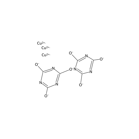 [Cu+2].[Cu+2].[Cu+2].[O-]c1nc([O-])nc([O-])n1.[O-]c1nc([O-])nc([O-])n1